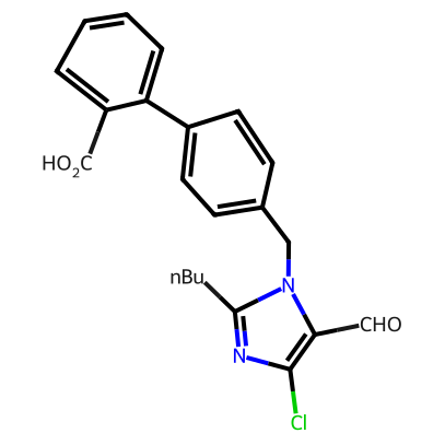 CCCCc1nc(Cl)c(C=O)n1Cc1ccc(-c2ccccc2C(=O)O)cc1